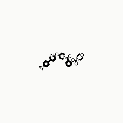 CN(C)c1ccc(-c2ccc(OC3CCN(C(=O)c4ccccc4OC(=O)N4CCOCC4)CC3)nc2)cc1